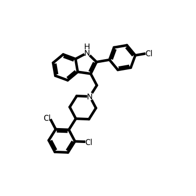 Clc1ccc(-c2[nH]c3ccccc3c2CN2CCC(c3c(Cl)cccc3Cl)CC2)cc1